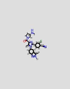 CN[C@H]1CCN(C(=O)c2nc(-c3ccc(C#N)c(F)c3)n(-c3ccc4nn(C)c(C)c4c3)c2C)C1